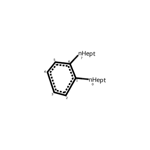 CCCCCCCc1ccccc1CCCCCCC